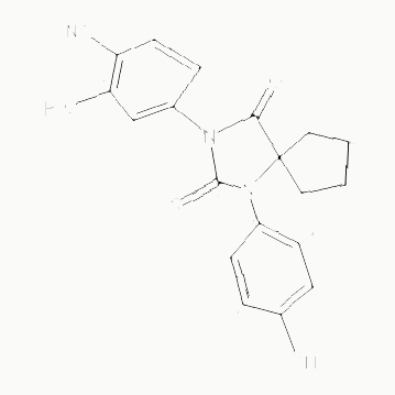 Cc1ccc(N2C(=S)N(c3ccc(C#N)c(C)c3)C(=O)C23CCCC3)cc1